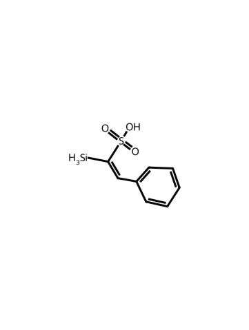 O=S(=O)(O)C([SiH3])=Cc1ccccc1